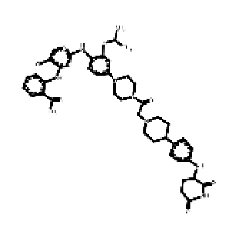 CC(=O)c1ccccc1Nc1nc(Nc2ccc(N3CCN(C(=O)CN4CCC(c5ccc(NC6CCC(=O)NC6=O)cc5)CC4)CC3)cc2OC(C)C)ncc1Cl